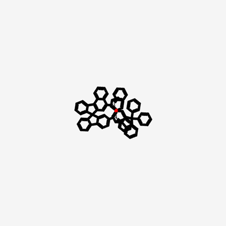 c1ccc(N(c2ccccc2)c2ccc3c(c2)C2(c4ccccc4-3)c3ccccc3-c3c2cc(N(c2ccccc2)c2ccc4c(c2)C(c2ccccc2)(c2ccccc2)c2ccccc2-4)c2ccccc32)cc1